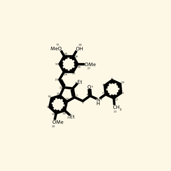 CCC1=C(CC(=O)Nc2ccccc2C)c2c(ccc(OC)c2CC)C1=Cc1cc(OC)c(O)c(OC)c1